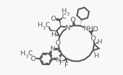 CC[C@@H]1[C@@H]2CN(C(=O)[C@H](C3CCCCC3)NC(=O)O[C@@H]3C[C@H]3CCCCC(F)(F)c3nc4ccc(OC)cc4nc3O2)[C@@H]1C(C)=O